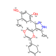 CCc1cc(-c2n[nH]c(C)c2C2=COC=C(C3=CC=CCC3)O2)c(O)cc1O